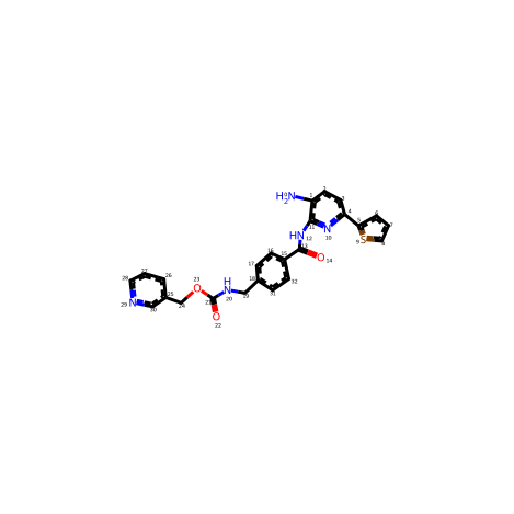 Nc1ccc(-c2cccs2)nc1NC(=O)c1ccc(CNC(=O)OCc2cccnc2)cc1